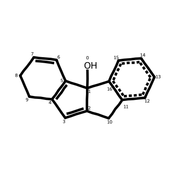 OC12C(=CC3=C1C=CCC3)Cc1ccccc12